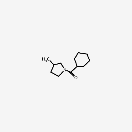 CC1CCN(C(=O)C2CCCCC2)C1